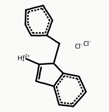 [Cl-].[Cl-].[Hf+2][C]1=Cc2ccccc2C1Cc1ccccc1